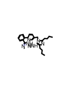 CCCCc1cn(Cc2ccc(-c3ccccc3/C(=N/C)NN=N)nc2)c(CCCC)n1